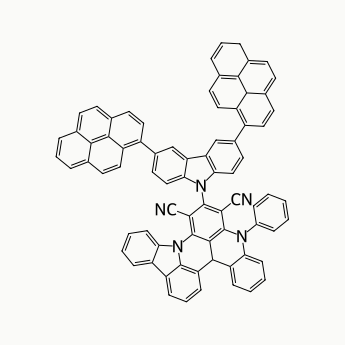 N#Cc1c2c3c(c(C#N)c1-n1c4ccc(C5=C6C=CC7=C8C(=CC=C(C=C5)C68)CC=C7)cc4c4cc(-c5ccc6ccc7cccc8ccc5c6c78)ccc41)-n1c4ccccc4c4cccc(c41)C3c1ccccc1N2c1ccccc1